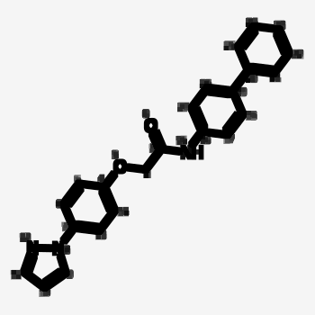 O=C(COc1ccc(-n2cccn2)cc1)Nc1ccc(-c2ccccc2)cc1